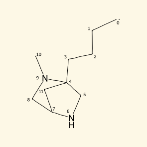 [CH2]CCCC12CNC(CN1C)C2